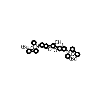 Cc1cc2c3cc4ccc(N(c5ccccc5)c5cccc6c5oc5c(C(C)(C)C)cccc56)cc4cc3oc2c2oc3cc4cc(N(c5ccccc5)c5cccc6c5oc5c(C(C)(C)C)cccc56)ccc4cc3c12